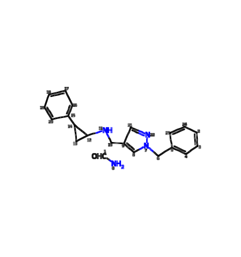 NC=O.c1ccc(Cn2cc(CNC3CC3c3ccccc3)cn2)cc1